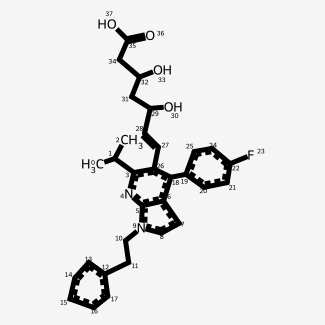 CC(C)c1nc2c(ccn2CCc2ccccc2)c(-c2ccc(F)cc2)c1C=CC(O)CC(O)CC(=O)O